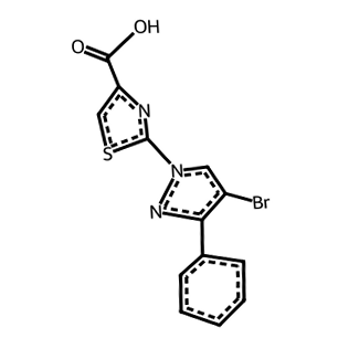 O=C(O)c1csc(-n2cc(Br)c(-c3ccccc3)n2)n1